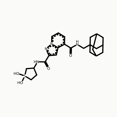 O=C(NC1CCS(O)(O)C1)c1cc2c(C(=O)NCC34CC5CC(CC(C5)C3)C4)cccn2n1